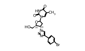 Cc1cn(C2C[C@H](n3cc(-c4ccc(Br)cc4)nn3)[C@@H](CO)O2)c(=O)[nH]c1=O